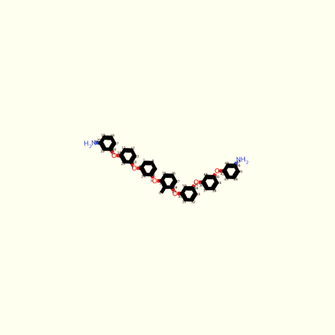 Cc1c(Oc2cccc(Oc3cccc(Oc4cccc(N)c4)c3)c2)cccc1Oc1cccc(Oc2cccc(Oc3cccc(N)c3)c2)c1